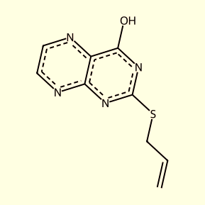 C=CCSc1nc(O)c2nccnc2n1